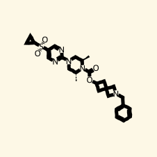 C[C@@H]1CN(c2ncc(S(=O)(=O)C3CC3)cn2)C[C@@H](C)N1C(=O)OC1CC2(C1)CN(Cc1ccccc1)C2